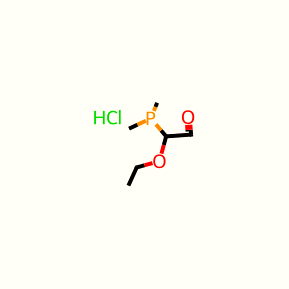 CCOC(C=O)P(C)C.Cl